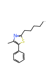 [CH2]CCCCc1nc(C)c(-c2ccccc2)s1